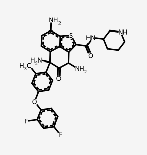 Cc1cc(Oc2ccc(F)cc2F)ccc1C1(N)C(=O)C(N)c2c(C(=O)NC3CCCNC3)sc3c(N)ccc1c23